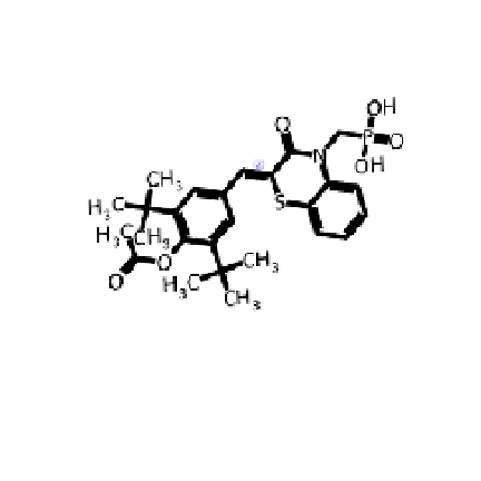 CC(=O)Oc1c(C(C)(C)C)cc(/C=C2\Sc3ccccc3N(CP(=O)(O)O)C2=O)cc1C(C)(C)C